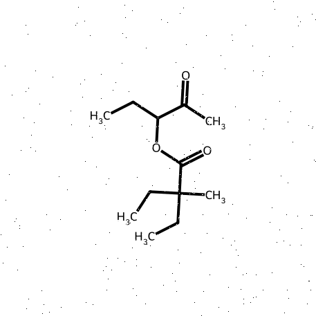 CCC(OC(=O)C(C)(CC)CC)C(C)=O